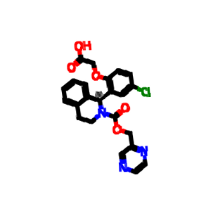 O=C(O)COc1ccc(Cl)cc1[C@@H]1c2ccccc2CCN1C(=O)OCc1cnccn1